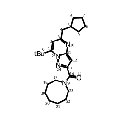 CC(C)(C)c1cc(CC2CCCC2)nc2cc(C(=O)N3CCCCCCC3)nn12